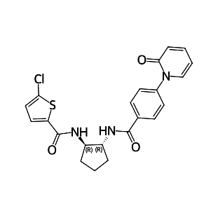 O=C(N[C@@H]1CCC[C@H]1NC(=O)c1ccc(Cl)s1)c1ccc(-n2ccccc2=O)cc1